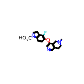 CN1CCc2cncc(Oc3ccc4c(ccn4C(=O)O)c3F)c2C1